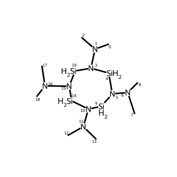 CN(C)N1[SiH2]N(N(C)C)[SiH2]N(N(C)C)[SiH2]N(N(C)C)[SiH2]1